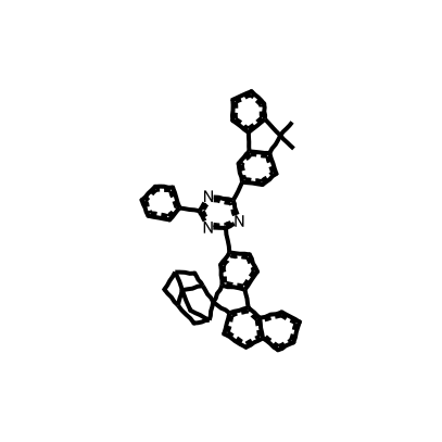 CC1(C)c2ccccc2-c2cc(-c3nc(-c4ccccc4)nc(-c4ccc5c(c4)C4(c6ccc7ccccc7c6-5)C5CC6CC(C5)CC4C6)n3)ccc21